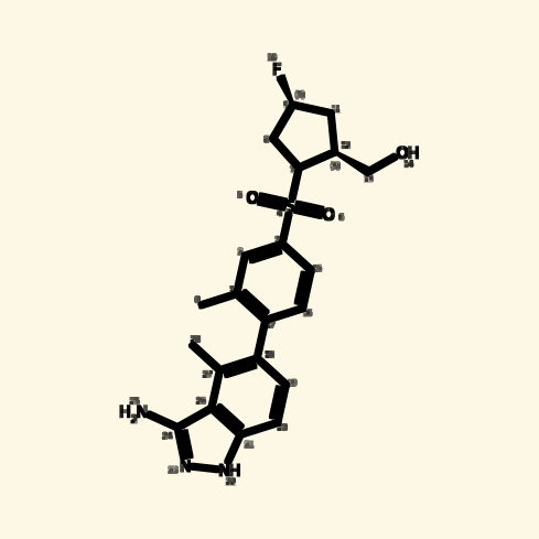 Cc1cc(S(=O)(=O)C2C[C@@H](F)C[C@H]2CO)ccc1-c1ccc2[nH]nc(N)c2c1C